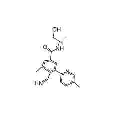 Cc1ccc(-c2cc(C(=O)N[C@@H](C)CO)cc(C)c2C=N)nc1